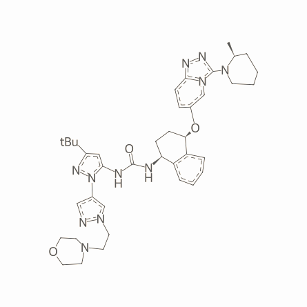 C[C@H]1CCCCN1c1nnc2ccc(O[C@@H]3CC[C@H](NC(=O)Nc4cc(C(C)(C)C)nn4-c4cnn(CCN5CCOCC5)c4)c4ccccc43)cn12